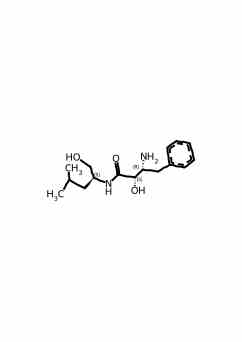 CC(C)C[C@@H](CO)NC(=O)[C@@H](O)[C@H](N)Cc1ccccc1